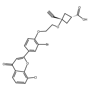 C#C[C@]1(OCCOc2ccc(-c3cc(=O)c4cccc(Cl)c4o3)cc2Br)C[C@@H](C(=O)O)C1